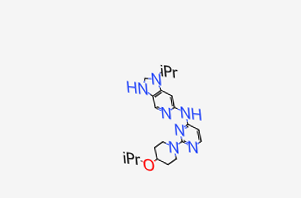 CC(C)OC1CCN(c2nccc(Nc3cc4c(cn3)NCN4C(C)C)n2)CC1